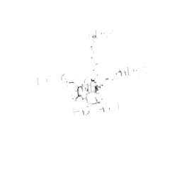 CCCCCCCCCCCCCCCCCC(=O)N(CCCCCCCCCCCCCC)[C@@H]1O[C@H](CO)[C@@H](O)[C@H](O)[C@H]1NC(=O)CCC(=O)O